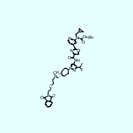 CN(CCOCCN1C(=O)c2ccccc2C1=O)C[C@H]1CC[C@H](n2cc(NC(=O)c3coc(-c4ccnc(N(CC5CC5)C(=O)OC(C)(C)C)c4)n3)c(C(F)F)n2)CC1